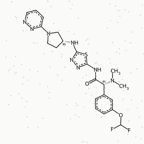 CN(C)[C@@H](C(=O)Nc1nnc(N[C@@H]2CCN(c3cccnn3)C2)s1)c1cccc(OC(F)F)c1